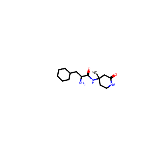 N#CC1(NC(=O)C(N)CC2CCCCC2)CCNC(=O)C1